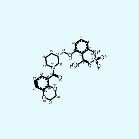 NC1=NS(=O)(=O)Nc2cccc(OC[C@H]3CCCN(C(=O)c4cc#cc5c4OCCO5)C3)c21